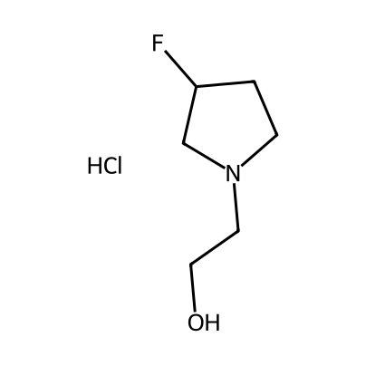 Cl.OCCN1CCC(F)C1